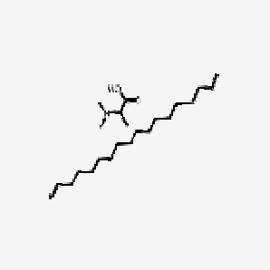 CC(C(=O)O)N(C)C.CCCCCCCCCCCCCCCCCC